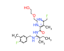 CC/C(C)=C(/NCc1ccc(F)c(C)c1)NC(=O)/C(NCCOCCO)=C(\C)C(=N)CF